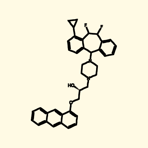 O[C@@H](COc1cccc2cc3ccccc3cc12)CN1CCN(C2c3ccccc3C(F)C(F)c3c(C4CC4)cccc32)CC1